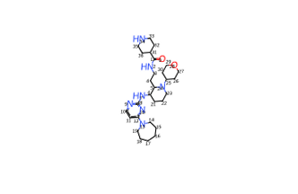 O=C(NCCC1C(Nc2nccc(N3CCCCCC3)n2)CCCN1C1CCOCC1)C1CCNCC1